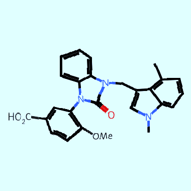 COc1ccc(C(=O)O)cc1-n1c(=O)n(Cc2cn(C)c3cccc(C)c23)c2ccccc21